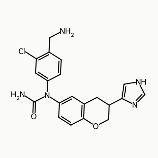 NCc1ccc(N(C(N)=O)c2ccc3c(c2)CC(c2c[nH]cn2)CO3)cc1Cl